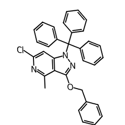 Cc1nc(Cl)cc2c1c(OCc1ccccc1)nn2C(c1ccccc1)(c1ccccc1)c1ccccc1